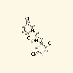 O=c1ccc(Cl)cn1CC(O)Cn1cc(Cl)ccc1=O